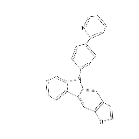 c1ccc(-c2ccc(-n3c4ccccc4c4cc5occc5cc43)cc2)nc1